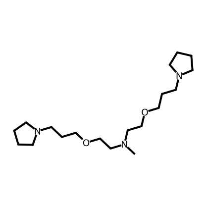 CN(CCOCCCN1CCCC1)CCOCCCN1CCCC1